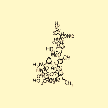 C/C=C/C1=C(C(=O)O)N2C(=O)[C@@H](NC(=O)[C@H](N)c3ccc(O)cc3)[C@H]2SC1.COC1=C(C(=O)O)N2C(=O)[C@@H](NC(=O)[C@H](N)C3=CCC=CC3)[C@H]2SC1.COCC1=C(C(=O)O)N2C(=O)[C@@H](NC(=O)/C(=N\OC)c3csc(N)n3)[C@H]2SC1